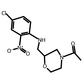 CC(=O)N1CCOC(CNc2ccc(Cl)cc2[N+](=O)[O-])C1